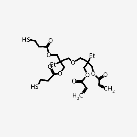 C=CC(=O)OCC(CC)(COCC(CC)(COC(=O)CCS)COC(=O)CCS)COC(=O)C=C